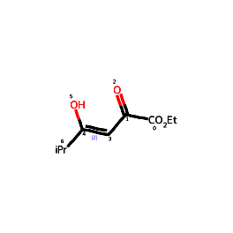 CCOC(=O)C(=O)/C=C(\O)C(C)C